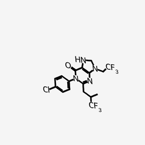 CC(Cc1nc2c(c(=O)n1-c1ccc(Cl)cc1)NCN2CC(F)(F)F)C(F)(F)F